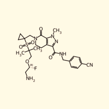 Cn1nc(C(=O)NCc2ccc(C#N)cc2)c2c1C(=O)N(CC1(S(=O)(=O)C(C)(C)CO[C@H](F)CN)CC1)CC2